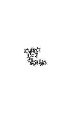 c1ccc(N(c2ccccc2)c2cccc(N(c3ccccc3)c3ccc(-c4ccc5sc6ccc(-c7ccc8c(c7)oc7ccccc78)cc6c5c4)cc3)c2)cc1